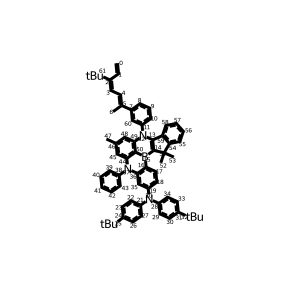 C=C/C(=C\C=C(/C)c1cccc(N2C3=C(B4c5ccc(N(c6ccc(C(C)(C)C)cc6)c6ccc(C(C)(C)C)cc6)cc5N(c5ccccc5)c5cc(C)cc2c54)C(C)(C)c2ccccc23)c1)C(C)(C)C